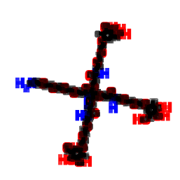 CC1C(OCCOCCOCCNC(=O)CCOCC(COCCC(=O)NCCOCCOCCOC2CC(CO)C(O)C(O)C2C)(COCCC(=O)NCCOCCOCCOC2CC(CO)C(O)C(O)C2C)NC(=O)CCOCCOCCOCCOCCN)CC(CO)C(O)C1O